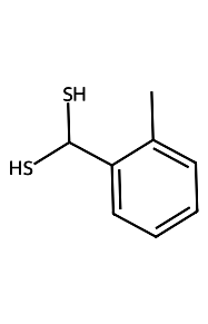 Cc1ccccc1C(S)S